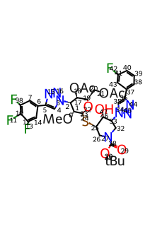 CO[C@@H]1[C@@H](n2cc(-c3cc(F)c(F)c(F)c3)nn2)[C@@H](OC(C)=O)[C@@H](COC(C)=O)O[C@H]1S[C@@H]1CN(C(=O)OC(C)(C)C)C[C@H](n2cc(-c3cccc(F)c3)nn2)[C@H]1O